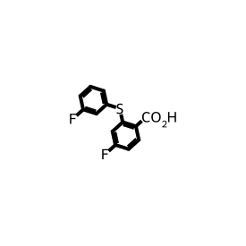 O=C(O)c1ccc(F)cc1Sc1cccc(F)c1